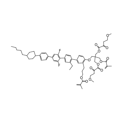 C=C(C)C(=O)OCCCc1cc(-c2ccc(-c3c(F)cc(-c4ccc(C5CCC(CCCCC)CC5)cc4)cc3F)cc2CC)ccc1OCC(COC(=O)C(=C)C)(COC(=O)C(=O)CCOC)COC(=O)C(=O)CCOC